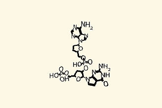 Nc1nc2c(ccn2[C@@H]2OC(COP(=O)(O)O)CC2OP(=O)(O)OCC2CC[C@H](n3cnc4c(N)ncnc43)O2)c(=O)[nH]1